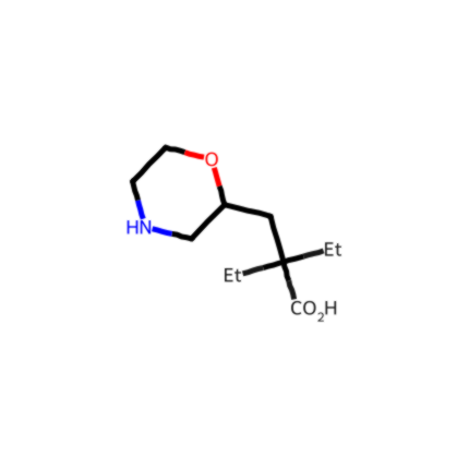 CCC(CC)(CC1CNCCO1)C(=O)O